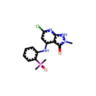 Cn1[nH]c2nc(Cl)cc(Nc3ccccc3P(C)(C)=O)c2c1=O